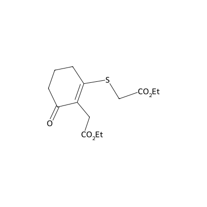 CCOC(=O)CSC1=C(CC(=O)OCC)C(=O)CCC1